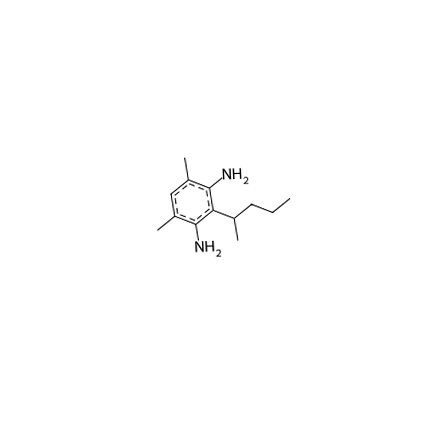 CCCC(C)c1c(N)c(C)cc(C)c1N